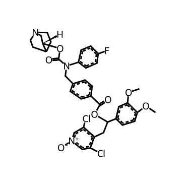 COc1ccc(C(Cc2c(Cl)c[n+]([O-])cc2Cl)OC(=O)c2ccc(CN(C(=O)O[C@H]3CN4CCC3CC4)c3ccc(F)cc3)cc2)cc1OC